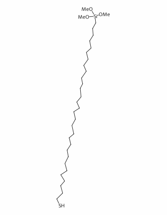 CO[Si](CCCCCCCCCCCCCCCCCCCCCCCCCCCCCCS)(OC)OC